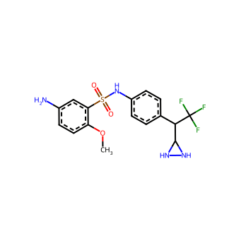 COc1ccc(N)cc1S(=O)(=O)Nc1ccc(C(C2NN2)C(F)(F)F)cc1